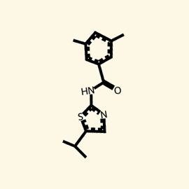 Cc1cc(C)cc(C(=O)Nc2ncc(C(C)C)s2)c1